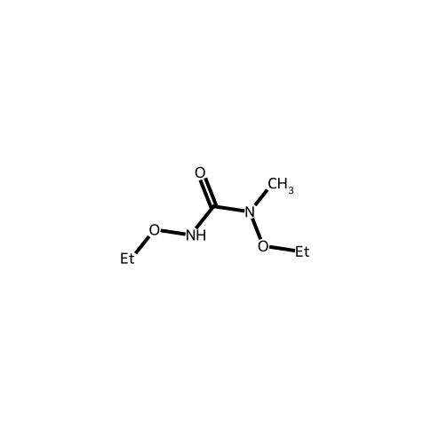 CCONC(=O)N(C)OCC